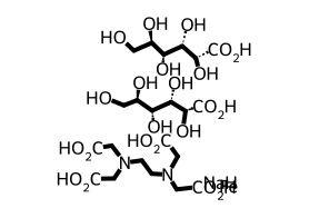 O=C(O)CN(CCN(CC(=O)O)CC(=O)O)CC(=O)O.O=C(O)[C@H](O)[C@@H](O)[C@H](O)[C@H](O)CO.O=C(O)[C@H](O)[C@@H](O)[C@H](O)[C@H](O)CO.[Fe].[NaH]